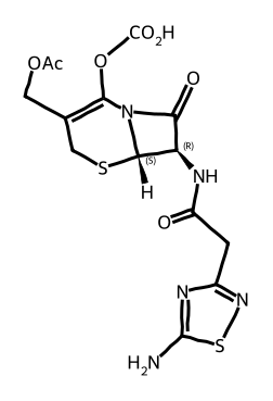 CC(=O)OCC1=C(OC(=O)O)N2C(=O)[C@@H](NC(=O)Cc3nsc(N)n3)[C@@H]2SC1